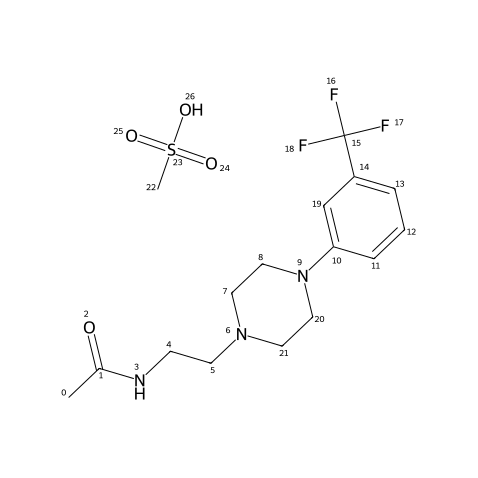 CC(=O)NCCN1CCN(c2cccc(C(F)(F)F)c2)CC1.CS(=O)(=O)O